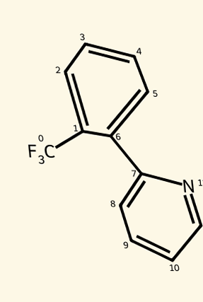 FC(F)(F)c1ccccc1-c1ccccn1